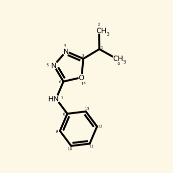 CC(C)c1nnc(Nc2ccccc2)o1